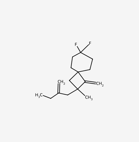 C=C(CC)CC1(C)CC2(CCC(F)(F)CC2)C1=C